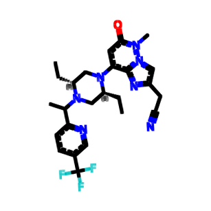 CC[C@H]1CN(C(C)c2ccc(C(F)(F)F)cn2)[C@H](CC)CN1c1cc(=O)n(C)n2cc(CC#N)nc12